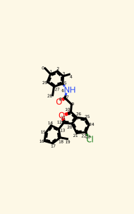 Cc1cc(C)c(NC(=O)Cc2oc(-c3ccccc3C)c3cc(Cl)ccc23)c(C)c1